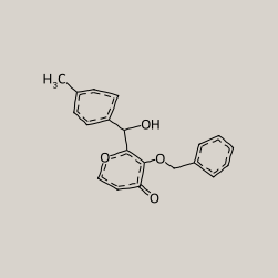 Cc1ccc(C(O)c2occc(=O)c2OCc2ccccc2)cc1